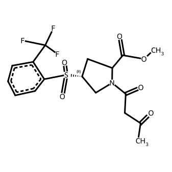 COC(=O)C1C[C@@H](S(=O)(=O)c2ccccc2C(F)(F)F)CN1C(=O)CC(C)=O